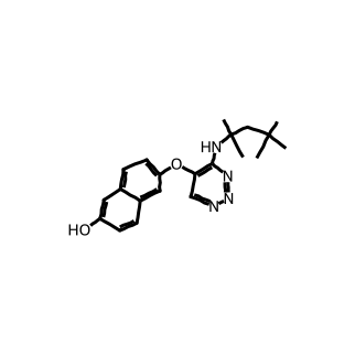 CC(C)(C)CC(C)(C)Nc1nnncc1Oc1ccc2cc(O)ccc2c1